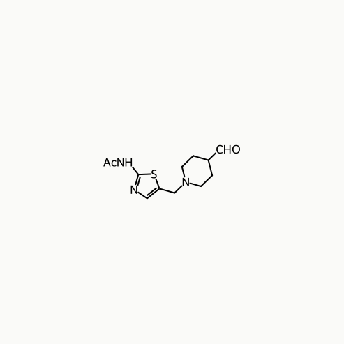 CC(=O)Nc1ncc(CN2CCC(C=O)CC2)s1